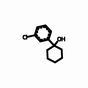 OC1(c2cccc(Cl)c2)CCCCC1